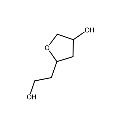 OCCC1CC(O)CO1